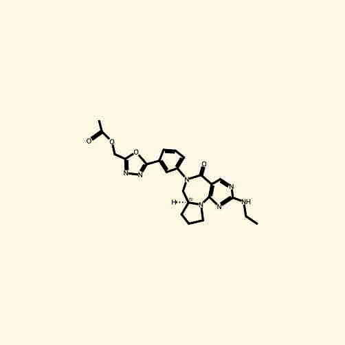 CCNc1ncc2c(n1)N1CCC[C@H]1CN(c1cccc(-c3nnc(COC(C)=O)o3)c1)C2=O